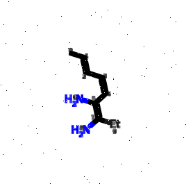 C/C=C/C=C\C(N)=C(\N)CC